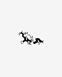 C[C@H](F)[C@H](N)Cc1sc2c(NCc3ccc(F)s3)snc2c1Cl